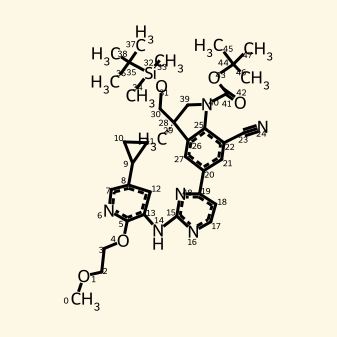 COCCOc1ncc(C2CC2)cc1Nc1nccc(-c2cc(C#N)c3c(c2)[C@@](C)(CO[Si](C)(C)C(C)(C)C)CN3C(=O)OC(C)(C)C)n1